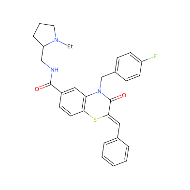 CCN1CCCC1CNC(=O)c1ccc2c(c1)N(Cc1ccc(F)cc1)C(=O)/C(=C/c1ccccc1)S2